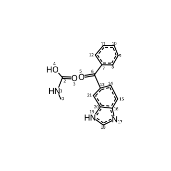 CNC(=O)O.O=C(c1ccccc1)c1ccc2nc[nH]c2c1